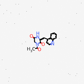 CC(=O)N1CC(=O)NC(=Cc2ccnc3ccccc23)C1=O